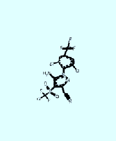 N#Cc1nn(-c2c(Cl)cc(C(F)(F)F)cc2Cl)c(N)c1S(=O)(=O)C(F)(F)Cl